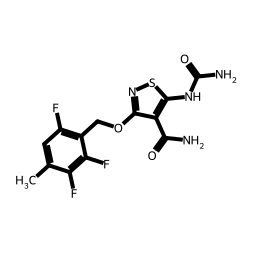 Cc1cc(F)c(COc2nsc(NC(N)=O)c2C(N)=O)c(F)c1F